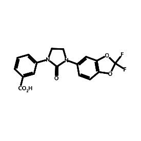 O=C(O)c1cccc(N2CCN(c3ccc4c(c3)OC(F)(F)O4)C2=O)c1